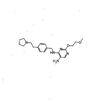 COCCOc1ncc(N)c(NCc2ccc(CCN3CCCC3)cc2)n1